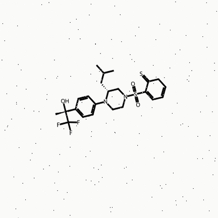 CC(C)C[C@@H]1CN(S(=O)(=O)C2=CC=CCC2=S)CCN1c1ccc([C@@](C)(O)C(F)(F)F)cc1